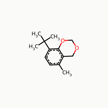 Cc1ccc(C(C)(C)C)c2c1COCO2